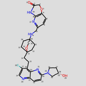 O=C1COc2ccc(CNC34CCC(CCc5c(F)cnc6ccc(N7CC[C@H](O)C7)nc56)(CC3)OC4)nc2N1